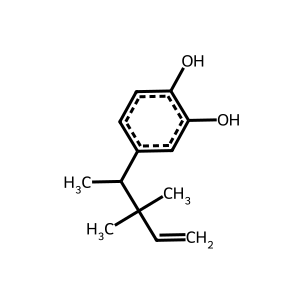 C=CC(C)(C)C(C)c1ccc(O)c(O)c1